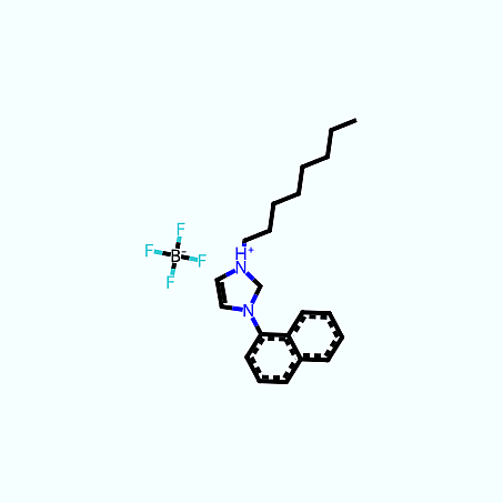 CCCCCCCC[NH+]1C=CN(c2cccc3ccccc23)C1.F[B-](F)(F)F